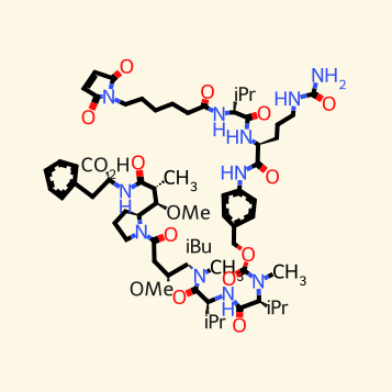 CC[C@H](C)[C@@H]([C@@H](CC(=O)N1CCC[C@H]1[C@H](OC)[C@@H](C)C(=O)N[C@H](Cc1ccccc1)C(=O)O)OC)N(C)C(=O)[C@@H](NC(=O)[C@H](C(C)C)N(C)C(=O)OCc1ccc(NC(=O)[C@H](CCCNC(N)=O)NC(=O)[C@@H](NC(=O)CCCCCN2C(=O)C=CC2=O)C(C)C)cc1)C(C)C